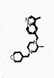 Cc1cnn2ccc(CN3CCN(CC4CCOCC4)C[C@@H]3C)cc12